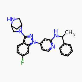 CC(Nc1cc(-n2nc(N3CC4CC3CN4)c3ccc(F)cc32)ccn1)c1ccccc1